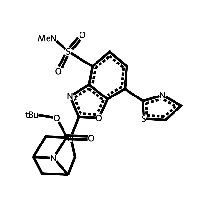 CNS(=O)(=O)c1ccc(-c2nccs2)c2oc(N3CC4CC(C3)N4C(=O)OC(C)(C)C)nc12